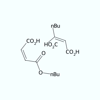 CCCC/C(=C/C(=O)O)C(=O)O.CCCCOC(=O)/C=C\C(=O)O